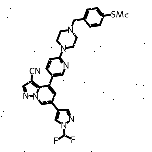 CSc1ccc(CN2CCN(c3ccc(-c4cc(-c5cnn(C(F)F)c5)cn5ncc(C#N)c45)cn3)CC2)cc1